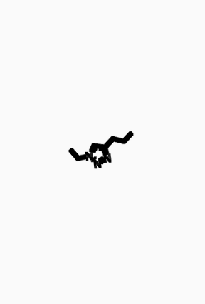 CCCc1cn(CC)nn1